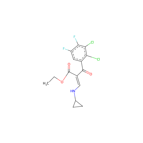 CCOC(=O)C(=CNC1CC1)C(=O)c1cc(F)c(F)c(Cl)c1Cl